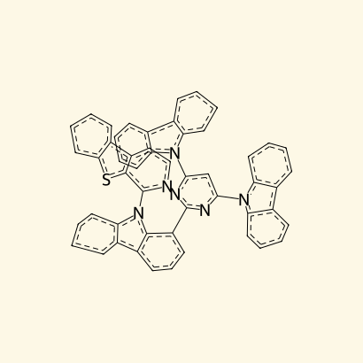 c1ccc2c(c1)sc1c(-n3c4ccccc4c4cccc(-c5nc(-n6c7ccccc7c7ccccc76)cc(-n6c7ccccc7c7ccccc76)n5)c43)nccc12